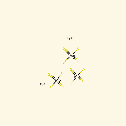 [Fe+3].[Fe+3].[S]=[Mo](=[S])([S-])[S-].[S]=[Mo](=[S])([S-])[S-].[S]=[Mo](=[S])([S-])[S-]